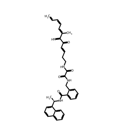 C=C/C=C\C=C(/C)C(=N)C(=O)/C=C/CCNC(=O)C(=O)NCc1ccccc1C(=O)N[C@H](C)c1cccc2ccccc12